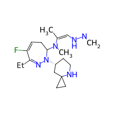 C=NN/C=C(/C)N(C)C1CC=C(F)C(CC)=NN1[C@@H]1CCNC2(CC2)C1